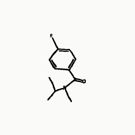 CC(C)N(C)C(=O)c1ccc(F)cc1